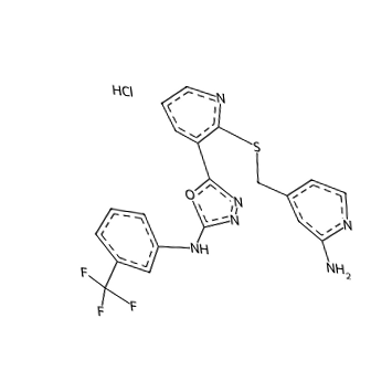 Cl.Nc1cc(CSc2ncccc2-c2nnc(Nc3cccc(C(F)(F)F)c3)o2)ccn1